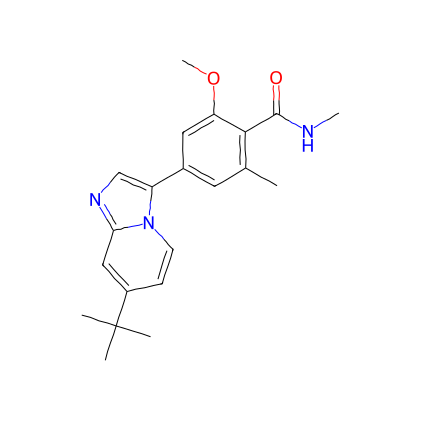 CNC(=O)c1c(C)cc(-c2cnc3cc(C(C)(C)C)ccn23)cc1OC